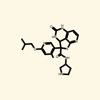 Cc1cc(OCC(C)C)ncc1C1(C(=O)NC2CCNC2)Sc2nccc3c2C1NC(=O)N3